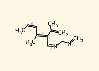 C=NC\N=C/C(C(=C)C)=C(C)/C=C\C